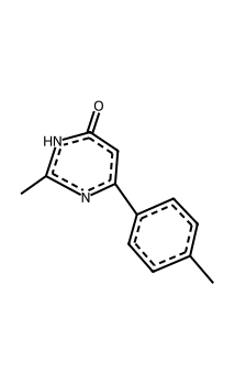 Cc1ccc(-c2cc(=O)[nH]c(C)n2)cc1